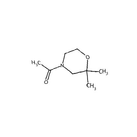 CC(=O)N1CCOC(C)(C)C1